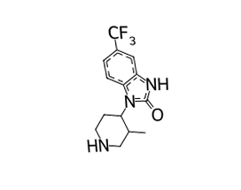 CC1CNCCC1n1c(=O)[nH]c2cc(C(F)(F)F)ccc21